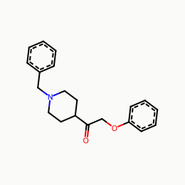 O=C(COc1ccccc1)C1CCN(Cc2ccccc2)CC1